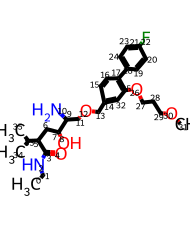 CCNC(=O)C(CC(O)C(N)COCc1ccc(-c2ccc(F)cc2)c(OCCCOC)c1)C(C)C